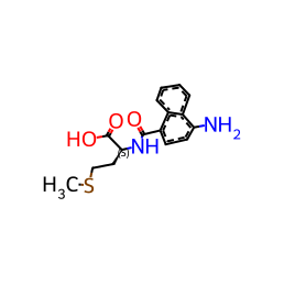 CSCC[C@H](NC(=O)c1ccc(N)c2ccccc12)C(=O)O